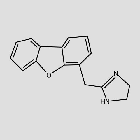 c1ccc2c(c1)oc1c(CC3=NCCN3)cccc12